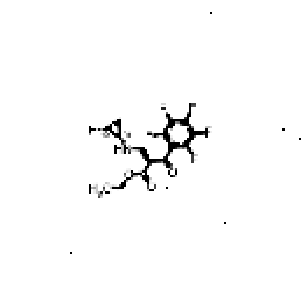 CCOC(=O)C(=CN[C@@H]1C[C@H]1F)C(=O)c1c(F)c(F)c(F)c(F)c1F